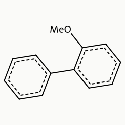 [CH]Oc1ccccc1-c1ccccc1